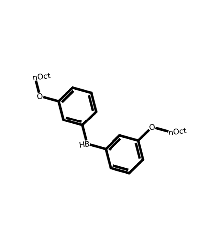 CCCCCCCCOc1cccc(Bc2cccc(OCCCCCCCC)c2)c1